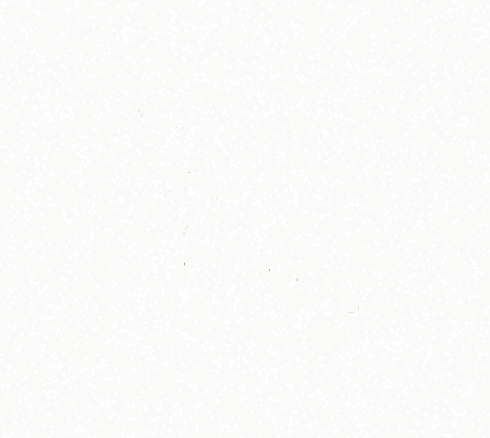 CCC(C)(C)C(=O)OC(C)OC12CC3C4CC5CC36CC(C5)(C4C1)C6C2